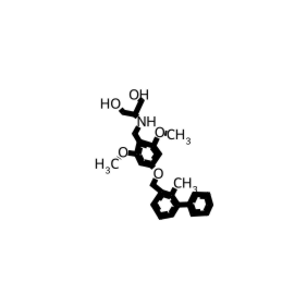 COc1cc(OCc2cccc(-c3ccccc3)c2C)cc(OC)c1CNC(CO)CO